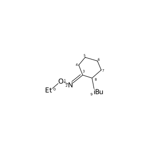 CCON=C1CCCCC1C(C)CC